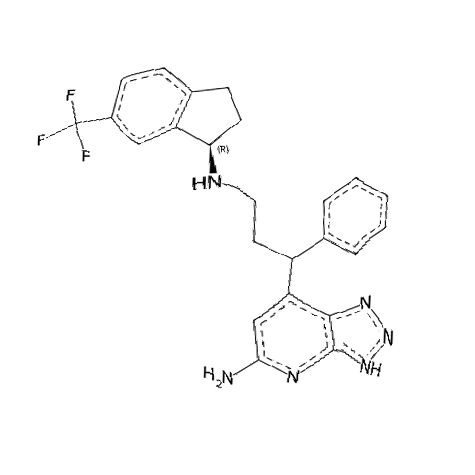 Nc1cc(C(CCN[C@@H]2CCc3ccc(C(F)(F)F)cc32)c2ccccc2)c2nn[nH]c2n1